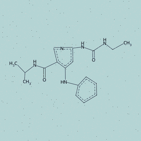 CCNC(=O)Nc1cc(Nc2ccccc2)c(C(=O)NC(C)C)cn1